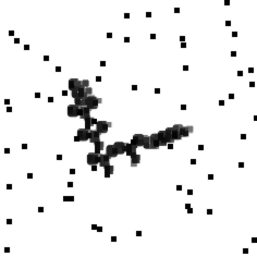 [Cu+].[Cu+].[Cu+].[Cu+].[Cu+].[Cu+].[Cu+].[Cu+].[O-]B([O-])F.[O-]B([O-])F.[O-]B([O-])F.[O-]B([O-])F